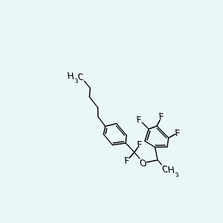 CCCCCc1ccc(C(F)(F)OC(C)c2cc(F)c(F)c(F)c2)cc1